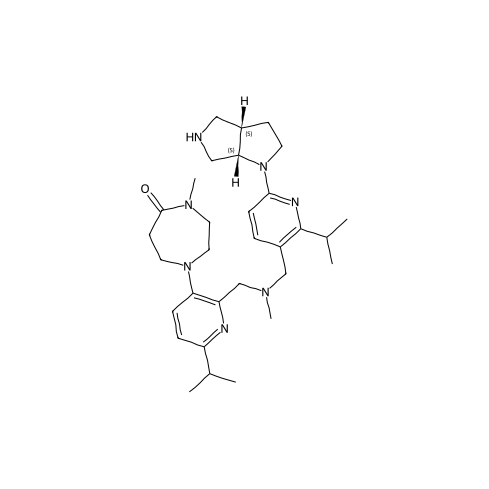 CC(C)c1ccc(N2CCC(=O)N(C)CC2)c(CN(C)Cc2ccc(N3CC[C@H]4CNC[C@H]43)nc2C(C)C)n1